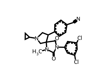 CN1C(=O)N(c2cc(Cl)cc(Cl)c2)C(=O)C12CN(C1CC1)CC2c1ccc(C#N)cc1